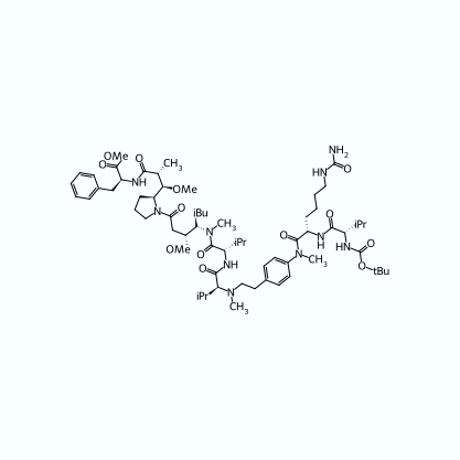 CC[C@H](C)[C@@H]([C@@H](CC(=O)N1CCC[C@H]1[C@H](OC)[C@@H](C)C(=O)N[C@@H](Cc1ccccc1)C(=O)OC)OC)N(C)C(=O)[C@@H](NC(=O)[C@H](C(C)C)N(C)CCc1ccc(N(C)C(=O)[C@H](CCCCNC(N)=O)NC(=O)[C@@H](NC(=O)OC(C)(C)C)C(C)C)cc1)C(C)C